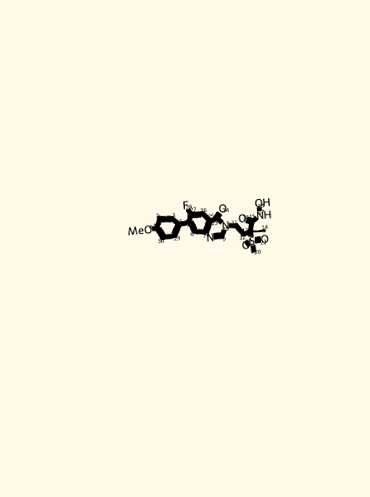 COc1ccc(-c2cc3ncn(CC[C@](C)(C(=O)NO)S(C)(=O)=O)c(=O)c3cc2F)cc1